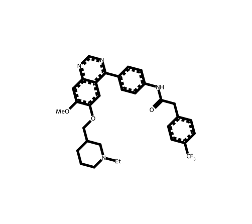 CCN1CCCC(COc2cc3c(-c4ccc(NC(=O)Cc5ccc(C(F)(F)F)cc5)cc4)ncnc3cc2OC)C1